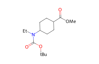 CCN(C(=O)OC(C)(C)C)C1CCC(C(=O)OC)CC1